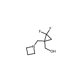 OCC1(CN2CCC2)CC1(F)F